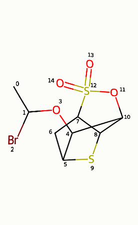 CC(Br)OC1C2CC3C(S2)C1OS3(=O)=O